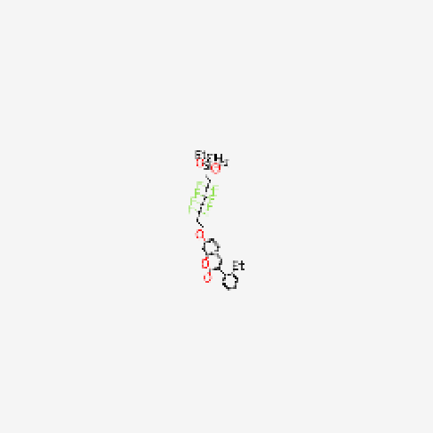 CCO[Si](C)(CCC(F)(F)C(F)(F)C(F)(F)C(F)(F)CCOc1ccc2cc(-c3ccccc3CC)c(=O)oc2c1)OCC